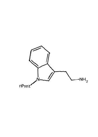 CCCCCn1cc(CCN)c2ccccc21